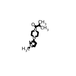 CC(C)C(=O)N1CCN(c2ccn(C)n2)CC1